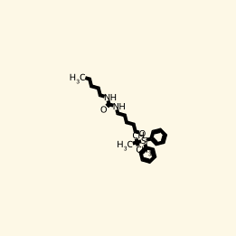 CCCCCNC(=O)NCCCCCO[Si](c1ccccc1)(c1ccccc1)C(C)(C)C